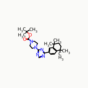 CC(C)(C)OC(=O)N1CCN(c2ncnc(-c3ccc4c(c3)C(C)(C)CCC4(C)C)n2)CC1